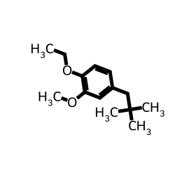 CCOc1ccc(CC(C)(C)C)cc1OC